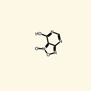 [O-][n+]1onc2ncnc(O)c21